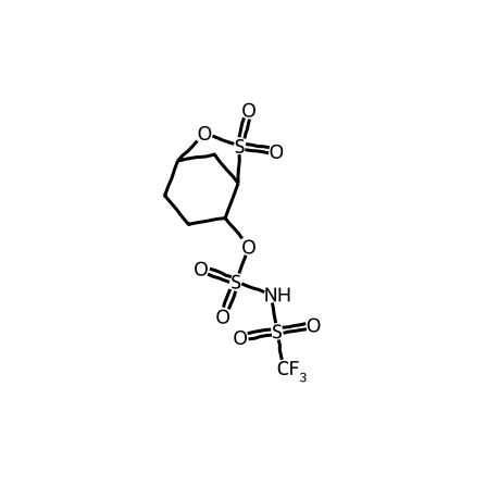 O=S(=O)(NS(=O)(=O)C(F)(F)F)OC1CCC2CC1S(=O)(=O)O2